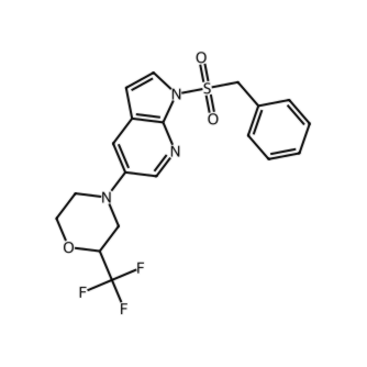 O=S(=O)(Cc1ccccc1)n1ccc2cc(N3CCOC(C(F)(F)F)C3)cnc21